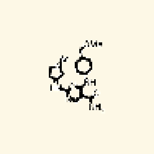 COC[C@H]1CC[C@@H](Nc2nc(N[C@@H]3CCN(C(C)=O)C3)ncc2C(N)=O)CC1